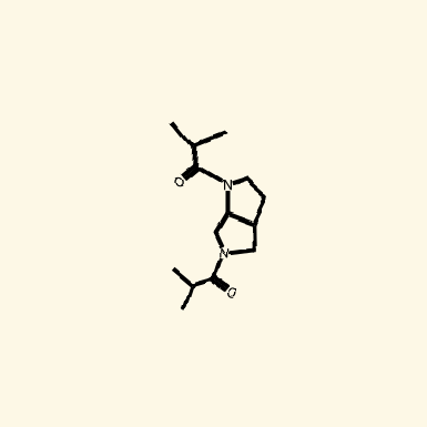 CC(C)C(=O)N1CC2CCN(C(=O)C(C)C)C2C1